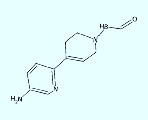 Nc1ccc(C2=CCN(BC=O)CC2)nc1